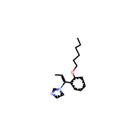 CC=C(c1ccccc1OCCCCCC)n1ccnc1